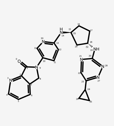 O=C1c2ncccc2CN1c1ccc(N[C@H]2CC[C@H](Nc3ncc(C4CC4)nn3)C2)nc1